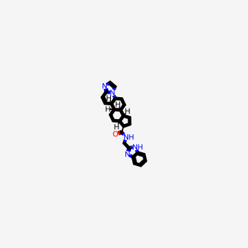 O=C(NCc1nc2ccccc2[nH]1)[C@@H]1CC[C@H]2[C@@H]3CCC4[C@H](C=Cc5nccn54)[C@H]3CC[C@@H]21